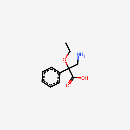 CCOC(CN)(C(=O)O)c1ccccc1